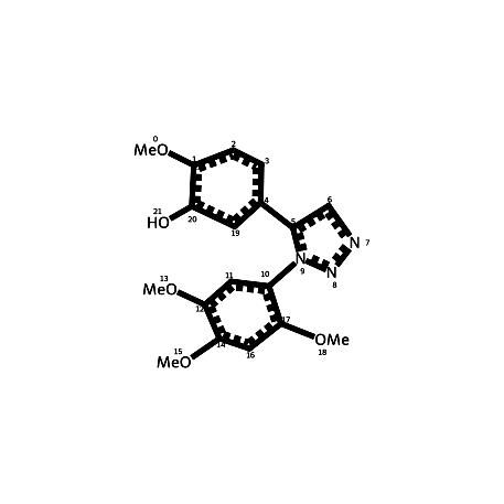 COc1ccc(-c2cnnn2-c2cc(OC)c(OC)cc2OC)cc1O